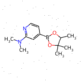 CC1OB(c2ccnc(N(C)C)c2)OC1(C)C